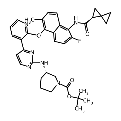 Cc1ccc2c(NC(=O)[C@H]3CC34CC4)c(F)ccc2c1Oc1ncccc1-c1ccnc(N[C@H]2CCCN(C(=O)OC(C)(C)C)C2)n1